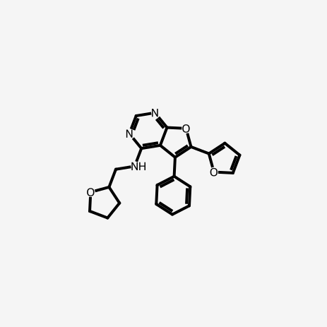 c1ccc(-c2c(-c3ccco3)oc3ncnc(NCC4CCCO4)c23)cc1